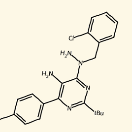 Cc1ccc(-c2nc(C(C)(C)C)nc(N(N)Cc3ccccc3Cl)c2N)cc1